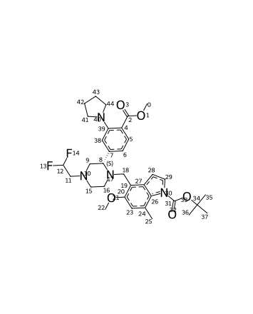 COC(=O)c1ccc([C@H]2CN(CC(F)F)CCN2Cc2c(OC)cc(C)c3c2ccn3C(=O)OC(C)(C)C)cc1N1CCCC1